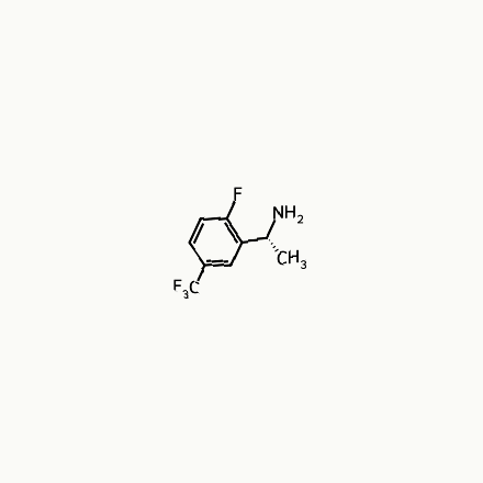 C[C@@H](N)c1cc(C(F)(F)F)ccc1F